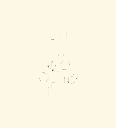 Cn1ccnc1-c1ccc2c(c1)N(S(=O)(=O)c1cccc(C(F)(F)F)c1)C[C@H](CCC(=O)O)O2